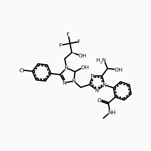 CNC(=O)c1ccccc1-n1nc(CN2N=C(c3ccc(Cl)cc3)N(C[C@H](O)C(F)(F)F)C2O)nc1C(N)O